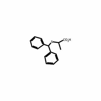 CC(SC(c1ccccc1)c1ccccc1)C(=O)O